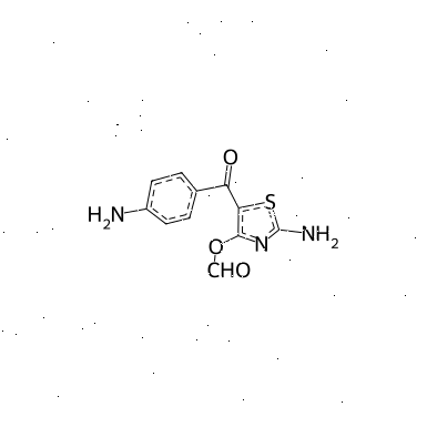 Nc1ccc(C(=O)c2sc(N)nc2OC=O)cc1